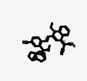 CCN1C(/C=C/c2ccc(O)cc2/C(OC)=C2/C3CC4CC5CC2C4C5C3)=CC(=C(/N)C#N)/c2ccccc21